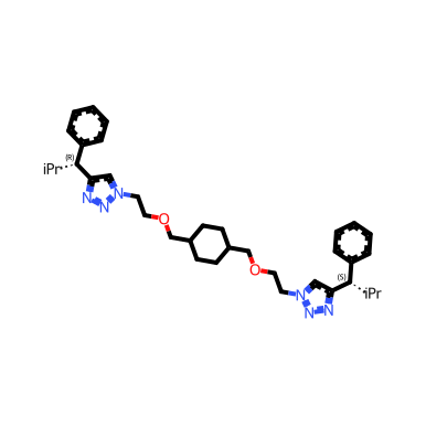 CC(C)[C@H](c1ccccc1)c1cn(CCOCC2CCC(COCCn3cc([C@H](c4ccccc4)C(C)C)nn3)CC2)nn1